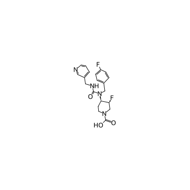 O=C(O)N1CC[C@@H](N(Cc2ccc(F)cc2)C(=O)NCc2cccnc2)[C@@H](F)C1